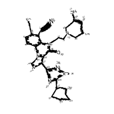 N#Cc1c(F)ccc2c1n(CCN1CCCC(O)C1)c(=O)c1c(-c3noc(C4CCCC4)n3)ncn12